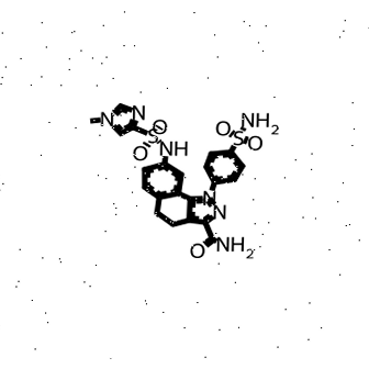 Cn1cnc(S(=O)(=O)Nc2ccc3c(c2)-c2c(c(C(N)=O)nn2-c2ccc(S(N)(=O)=O)cc2)CC3)c1